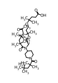 CC(=O)CC(C)(C)CC(C)(C)C(=O)N(CCOC(C)(C)CCOC(C)(C)CCC(=O)O)C1CCN(C(=O)C(C)(C)CC(C)(C)C)CC1